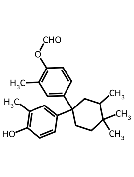 Cc1cc(C2(c3ccc(OC=O)c(C)c3)CCC(C)(C)C(C)C2)ccc1O